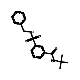 CC(C)(C)NC(=O)c1cccc(S(=O)(=O)NCc2ccccc2)c1